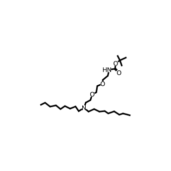 CCCCCCCCCN(CCCCCCCCC)CCOCCOCCNC(=O)OC(C)(C)C